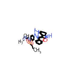 CCCCS(=O)(=O)N(CCN(C)C)c1ccc(NC(=C2C(=O)Nc3ccccc32)c2ccccc2)cc1